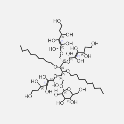 CCCCCCCCCO[C@H]([C@@H](OCCCCCCCCC)[C@H](CO[C@H](O)/C(O)=C(\O)[C@H](O)CCO)O[C@H](O)/C(O)=C(\O)[C@H](O)CCO)[C@H](CO[C@@H]1OC(CO)[C@@H](O)C(O)C1O)O[C@H](O)/C(O)=C(\O)[C@H](O)CCO